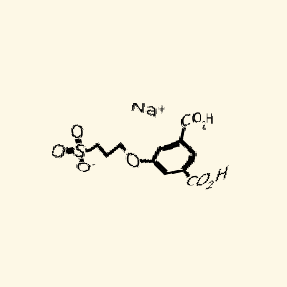 O=C(O)c1cc(OCCCS(=O)(=O)[O-])cc(C(=O)O)c1.[Na+]